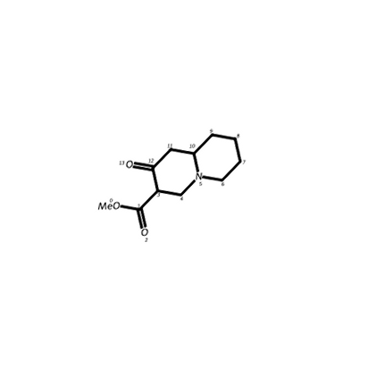 COC(=O)C1CN2CCCCC2CC1=O